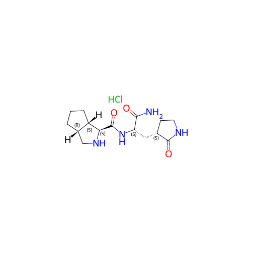 Cl.NC(=O)[C@H](C[C@@H]1CCNC1=O)NC(=O)[C@H]1NC[C@@H]2CCC[C@@H]21